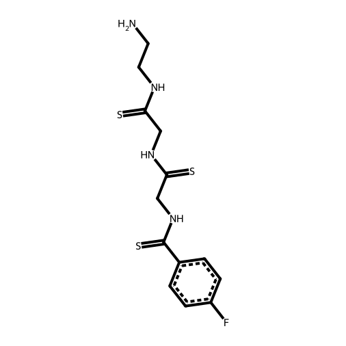 NCCNC(=S)CNC(=S)CNC(=S)c1ccc(F)cc1